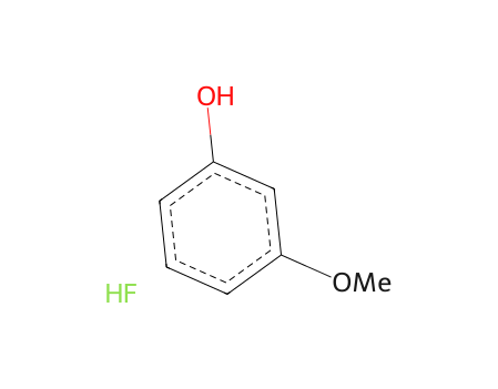 COc1cccc(O)c1.F